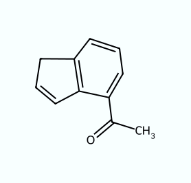 CC(=O)c1cccc2c1C=CC2